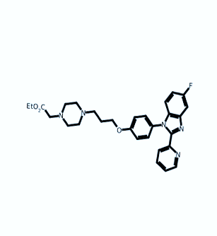 CCOC(=O)CN1CCN(CCCOc2ccc(-n3c(-c4ccccn4)nc4cc(F)ccc43)cc2)CC1